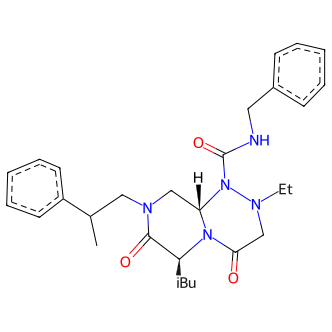 CCC(C)[C@H]1C(=O)N(CC(C)c2ccccc2)C[C@H]2N1C(=O)CN(CC)N2C(=O)NCc1ccccc1